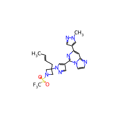 CC=CCC1(n2cc(-c3nc(-c4cnn(C)c4)cc4nccn34)cn2)CN(S(=O)(=O)C(F)(F)F)C1